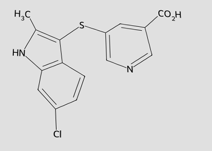 Cc1[nH]c2cc(Cl)ccc2c1Sc1cncc(C(=O)O)c1